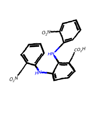 O=C(O)c1cccc(Nc2ccccc2[N+](=O)[O-])c1Nc1ccccc1[N+](=O)[O-]